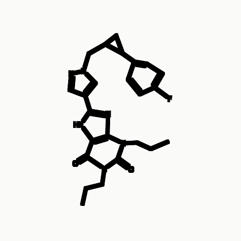 CCCn1c(=O)c2[nH]c(-c3cnn(CC4CC4c4ccc(F)cc4)c3)nc2n(CCC)c1=O